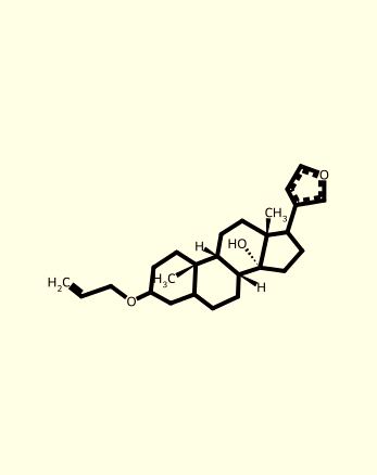 C=CCOC1CC[C@@]2(C)C(CC[C@@H]3[C@H]2CC[C@]2(C)C(c4ccoc4)CC[C@@]32O)C1